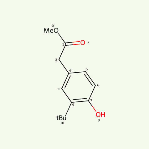 COC(=O)Cc1ccc(O)c(C(C)(C)C)c1